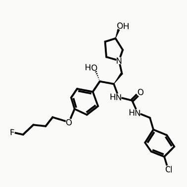 O=C(NCc1ccc(Cl)cc1)N[C@H](CN1CC[C@@H](O)C1)[C@@H](O)c1ccc(OCCCCF)cc1